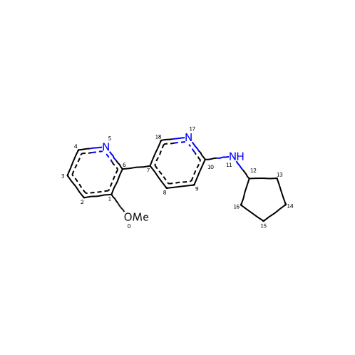 COc1cccnc1-c1ccc(NC2CCCC2)nc1